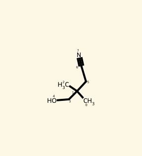 CC(C)(CO)CC#N